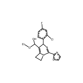 CCOC(O)C1=C2CCN2C(c2nccs2)=NC1c1ccc(F)cc1Cl